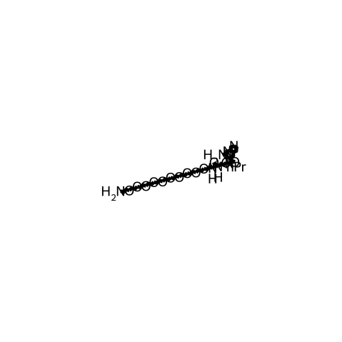 CCCN(OCCNC(=O)NCCOCCOCCOCCOCCOCCOCCOCCOCCOCCOCCN)C(=O)C1=Cc2ccncc2N=C(N)C1